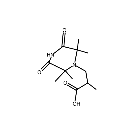 CC(CN1C(C)(C)C(=O)NC(=O)C1(C)C)C(=O)O